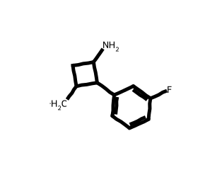 [CH2]C1CC(N)C1c1cccc(F)c1